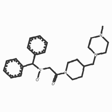 CN1CCN(CC2CCN(C(=O)C[S+]([O-])C(c3ccccc3)c3ccccc3)CC2)CC1